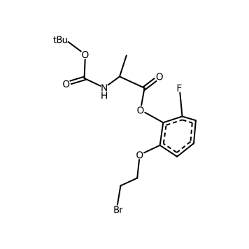 CC(NC(=O)OC(C)(C)C)C(=O)Oc1c(F)cccc1OCCBr